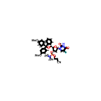 COc1ccc(C(OC[C@H]2O[C@@H](n3cc(F)c(=O)[nH]c3=O)C[C@@H]2OP(OCCC#N)N(C(C)C)C(C)C)(c2ccccc2)c2ccc(OC)cc2)cc1